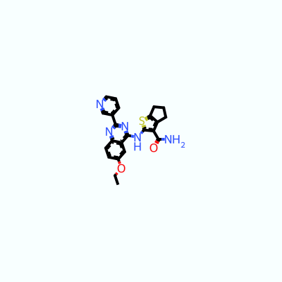 CCOc1ccc2nc(-c3cccnc3)nc(Nc3sc4c(c3C(N)=O)CCC4)c2c1